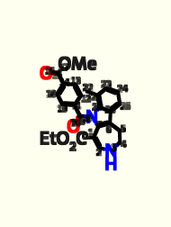 CCOC(=O)C1=CNCCc2c1n(C(=O)c1ccc(C(=O)OC)cc1)c1c(C)cccc21